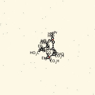 CCCNC(=S)Nc1ccc2c(c1)C(CC(=O)O)(CC(=O)O)c1cc(C#Cc3cc(CN(CC(=O)O)Cc4cc(C#Cc5c(OCC)cc(OCC(=O)O)cc5OCC)cc(OC=O)n4)nc(CN(COC=O)Cc4cc(C#Cc5c(OCC(=O)O)cc(OCC)cc5OCC(=O)O)cc(C(=O)O)n4)c3)ccc1-2